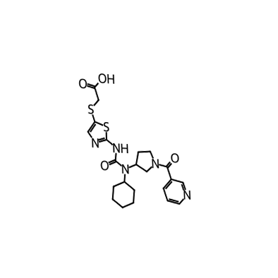 O=C(O)CSc1cnc(NC(=O)N(C2CCCCC2)C2CCN(C(=O)c3cccnc3)C2)s1